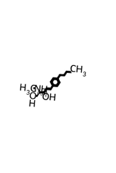 CCCCCc1ccc(C=C[C@H](O)[C@@H](CO)NC)cc1